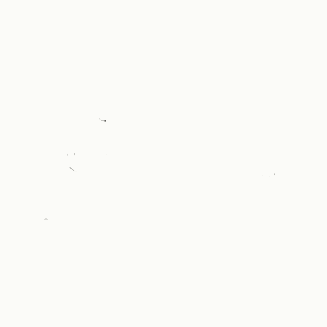 CCCCCCCCCCCCCCCC(=O)O[C@H](COP(=O)(O)O)CSCCCCCCCCCCCCCCOC=O